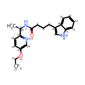 C[C@@H](NC(=O)CCCc1c[nH]c2ccccc12)c1ccc(OCC(F)(F)F)cn1